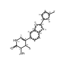 CCCC1C(=O)NN=C(c2ccc3nc(-c4ccc(C)s4)oc3c2)C1C